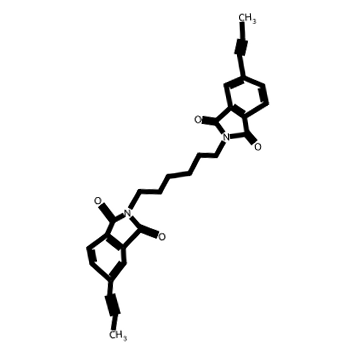 CC#Cc1ccc2c(c1)C(=O)N(CCCCCCN1C(=O)c3ccc(C#CC)cc3C1=O)C2=O